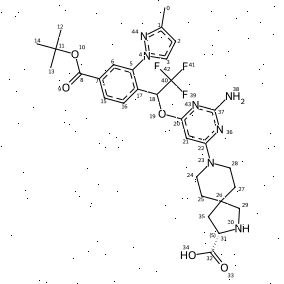 Cc1ccn(-c2cc(C(=O)OC(C)(C)C)ccc2C(Oc2cc(N3CCC4(CC3)CN[C@H](C(=O)O)C4)nc(N)n2)C(F)(F)F)n1